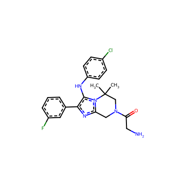 CC1(C)CN(C(=O)CN)Cc2nc(-c3cccc(F)c3)c(Nc3ccc(Cl)cc3)n21